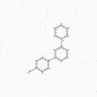 Fc1ccc(-c2[c]ccc(-c3ccccc3)c2)cc1